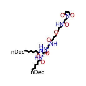 CCCCCCCCCCCCCCCC(=O)NC[C@H](NC(=O)CCCCCCCCCCCCCCC)C(=O)NCCNC(=O)CCCOCCCNC(=O)CCN1C(=O)C=CC1=O